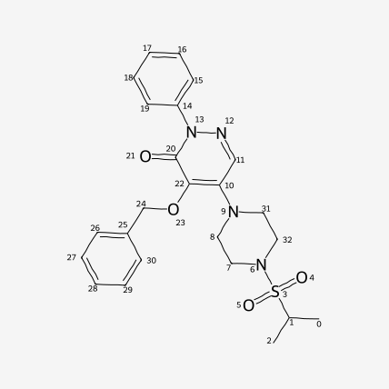 CC(C)S(=O)(=O)N1CCN(c2cnn(-c3ccccc3)c(=O)c2OCc2ccccc2)CC1